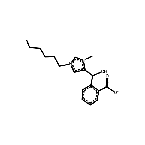 CCCCCCn1cc(C(O)c2ccccc2C(=O)[O-])[n+](C)c1